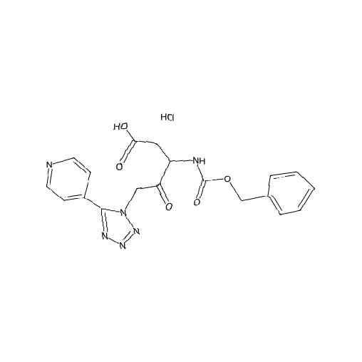 Cl.O=C(O)CC(NC(=O)OCc1ccccc1)C(=O)Cn1nnnc1-c1ccncc1